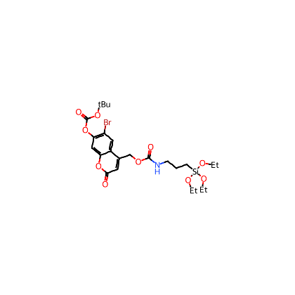 CCO[Si](CCCNC(=O)OCc1cc(=O)oc2cc(OC(=O)OC(C)(C)C)c(Br)cc12)(OCC)OCC